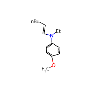 [CH2]CCCC=CN(CC)c1ccc(OC(F)(F)F)cc1